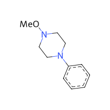 CON1CCN(c2ccccc2)CC1